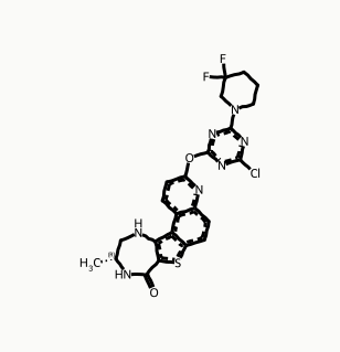 C[C@@H]1CNc2c(sc3ccc4nc(Oc5nc(Cl)nc(N6CCCC(F)(F)C6)n5)ccc4c23)C(=O)N1